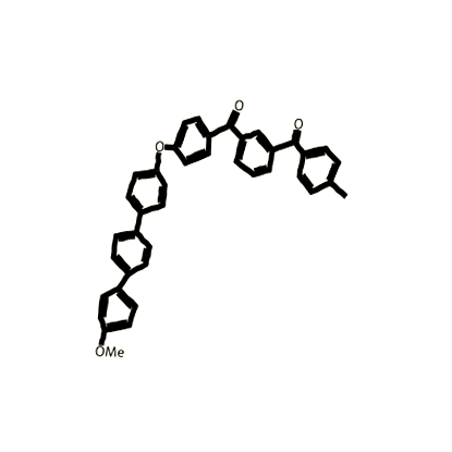 COc1ccc(-c2ccc(-c3ccc(Oc4ccc(C(=O)c5cccc(C(=O)c6ccc(C)cc6)c5)cc4)cc3)cc2)cc1